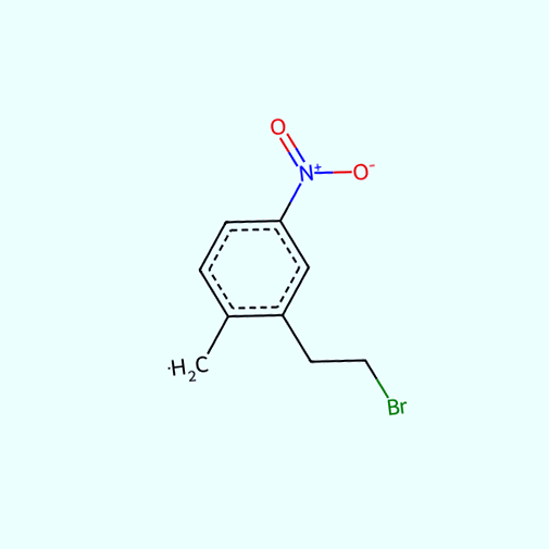 [CH2]c1ccc([N+](=O)[O-])cc1CCBr